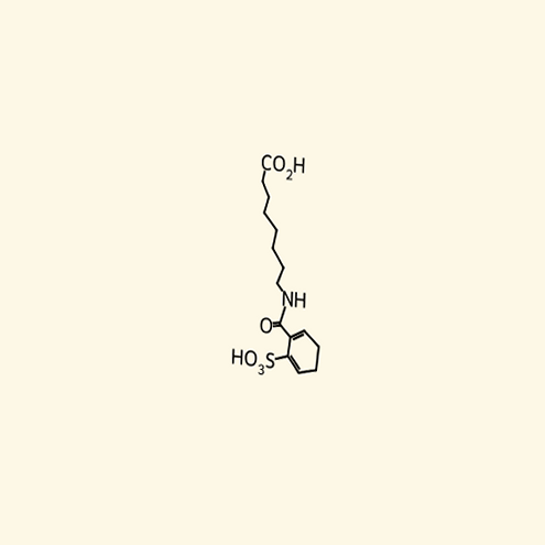 O=C(O)CCCCCCCNC(=O)C1=CCCC=C1S(=O)(=O)O